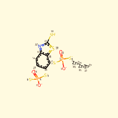 O=P([O-])([S-])[S-].O=P([O-])([S-])[S-].Sc1nc2ccccc2s1.[Zn+2].[Zn+2].[Zn+2]